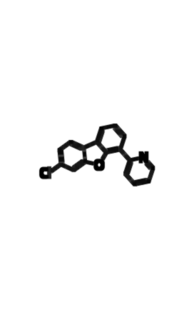 Clc1ccc2c(c1)oc1c(-c3ccccn3)cccc12